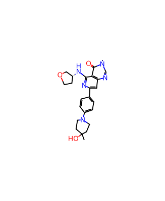 Cn1cnc2cc(-c3ccc(N4CCC(C)(O)CC4)cc3)nc(N[C@@H]3CCOC3)c2c1=O